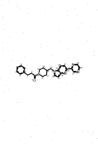 O=C(CCc1ccccc1)N1CCC(Cn2ccc3nc(-c4cnccn4)ccc32)CC1